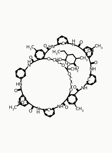 CCC(CC(C)C(=O)OC1(C)OCCOc2c3cc(C)cc2C(=O)Nc2cccc(c2)NC(=O)c2cc(C)cc(c2O)C(=O)Nc2cccc(c2)NC(=O)c2cc(C)cc(c2OCCO1)C(=O)Nc1cccc(c1)NC(=O)c1cc(C)cc(c1O)C(=O)Nc1cccc(c1)NC3=O)C(=O)O